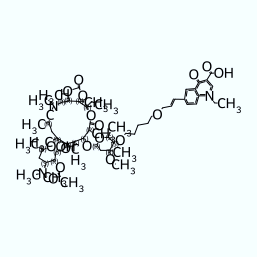 CC[C@H]1OC(=O)[C@H](C)[C@@H](O[C@H]2C[C@@](C)(OC)[C@@H](OCCCCCOCC=Cc3ccc4c(c3)c(=O)c(C(=O)O)cn4CC)[C@H](C)O2)[C@H](C)[C@@H](O[C@@H]2O[C@H](C)C[C@H](N(C)C)[C@H]2OC(C)=O)[C@](C)(O)C[C@@H](C)CN(C)[C@H](C)[C@H]2OC(=O)O[C@@]21C